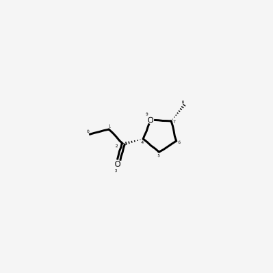 CCC(=O)[C@H]1CC[C@@H](C)O1